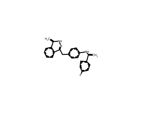 C=C(Nc1ccc(CC2=NNC(=C)c3ccccc32)cc1)c1ccc(F)cc1